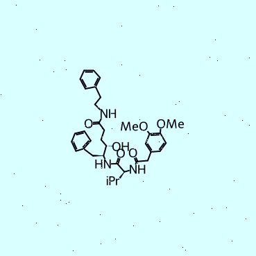 COc1ccc(CC(=O)N[C@H](C(=O)N[C@@H](Cc2ccccc2)[C@@H](O)CCC(=O)NCCc2ccccc2)C(C)C)cc1OC